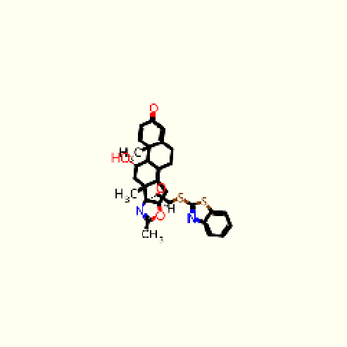 CC1=N[C@]2(C(=O)CSc3nc4ccccc4s3)[C@@H](CC3C4CCC5=CC(=O)C=CC5(C)C4[C@@H](O)CC32C)O1